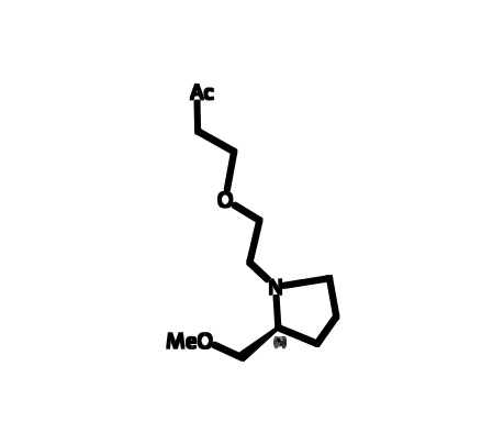 COC[C@@H]1CCCN1CCOCCC(C)=O